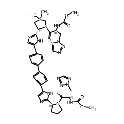 COC(=O)N[C@@H](Cn1ncnn1)C(=O)N1CCC[C@H]1c1ncc(-c2ccc(-c3ccc(-c4cnc([C@@H]5C[Si](C)(C)CN5C(=O)[C@H](Cn5ncnn5)NC(=O)OC)[nH]4)cc3)cc2)[nH]1